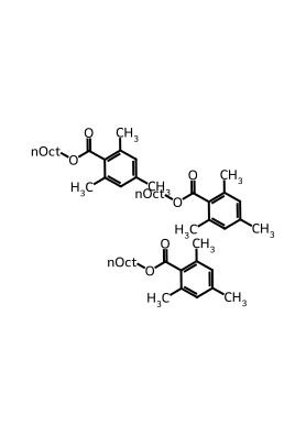 CCCCCCCCOC(=O)c1c(C)cc(C)cc1C.CCCCCCCCOC(=O)c1c(C)cc(C)cc1C.CCCCCCCCOC(=O)c1c(C)cc(C)cc1C